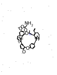 C=CC1=C2/C=C(\C)Oc3c(OC(=O)CN)c(OC)cc4c3[C@H](Cc3ccc(OC)c(c3)Oc3ccc(cc3)C[C@@H]2N(C)CC1)N(C)CC4